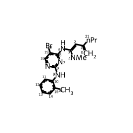 C=C(/C=C(\NC)Nc1nc(Nc2ccccc2C)ncc1Br)CCC